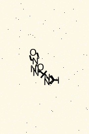 CC(C)(c1nnc(N2CCOCC2)o1)n1cc(I)cn1